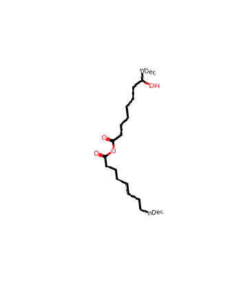 CCCCCCCCCCCCCCCCCC(=O)OC(=O)CCCCCCC(O)CCCCCCCCCC